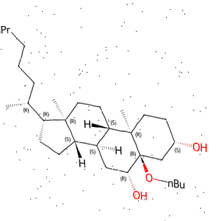 CCCCO[C@]12C[C@@H](O)CC[C@]1(C)[C@H]1CC[C@]3(C)[C@@H]([C@H](C)CCCC(C)C)CC[C@H]3[C@@H]1C[C@H]2O